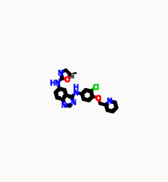 C[C@H]1CN=C(Nc2ccc3ncnc(Nc4ccc(OCc5ccccn5)c(Cl)c4)c3c2)O1